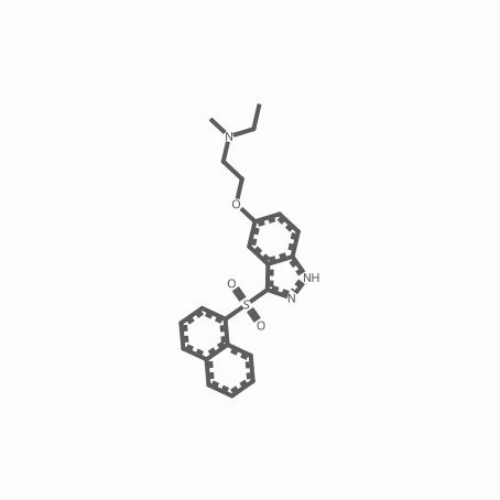 CCN(C)CCOc1ccc2[nH]nc(S(=O)(=O)c3cccc4ccccc34)c2c1